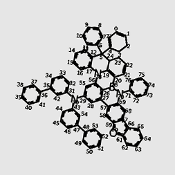 C1=CCCC(C2(c3ccccc3)c3ccccc3N3C4=C(C=CCC42)B2c4c(cc(N(c5cccc(-c6ccccc6)c5)c5cccc(-c6ccccc6)c5)cc43)-c3cc4oc5ccccc5c4cc3N2c2ccccc2)=C1